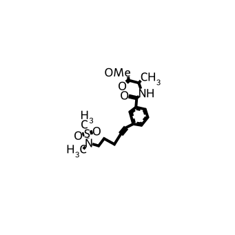 COC(=O)C(C)NC(=O)c1cccc(C#CCCCN(C)S(C)(=O)=O)c1